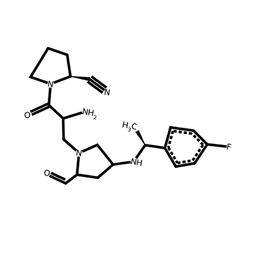 C[C@H](NC1CC(C=O)N(CC(N)C(=O)N2CCC[C@H]2C#N)C1)c1ccc(F)cc1